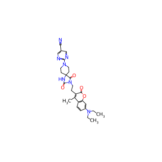 CCN(CC)c1ccc2c(C)c(CCN3C(=O)NC4(CCN(c5ncc(C#N)cn5)CC4)C3=O)c(=O)oc2c1